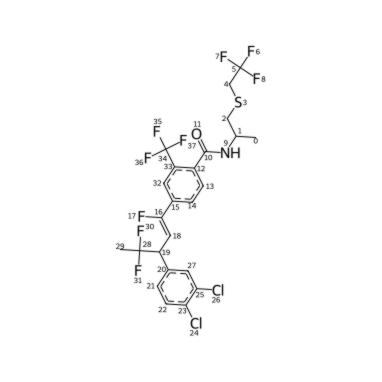 CC(CSCC(F)(F)F)NC(=O)c1ccc(/C(F)=C/C(c2ccc(Cl)c(Cl)c2)C(C)(F)F)cc1C(F)(F)F